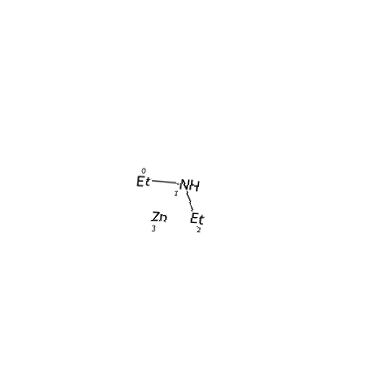 CCNCC.[Zn]